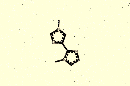 Cn1cnc(-c2nc[c]n2C)c1